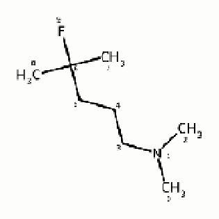 CN(C)CCCC(C)(C)F